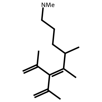 C=C(C)C(C(=C)C)=C(C)C(C)CCCNC